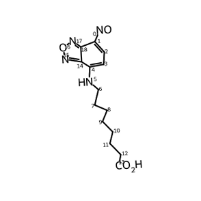 O=Nc1ccc(NCCCCCCCC(=O)O)c2nonc12